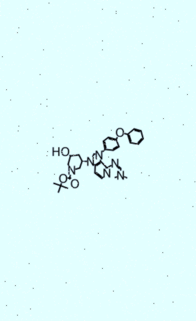 CN(C)/C=N\c1nccc2c1N(c1ccc(Oc3ccccc3)cc1)CN2[C@@H]1C[C@@H](O)CN(C(=O)OC(C)(C)C)C1